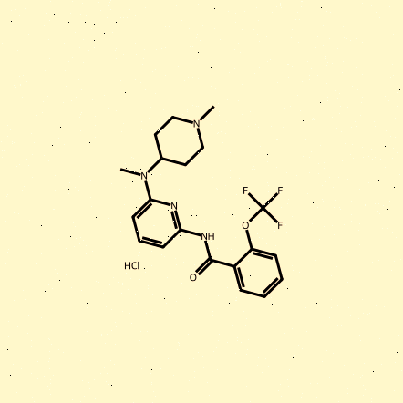 CN1CCC(N(C)c2cccc(NC(=O)c3ccccc3OC(F)(F)F)n2)CC1.Cl